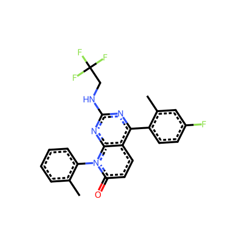 Cc1cc(F)ccc1-c1nc(NCC(F)(F)F)nc2c1ccc(=O)n2-c1ccccc1C